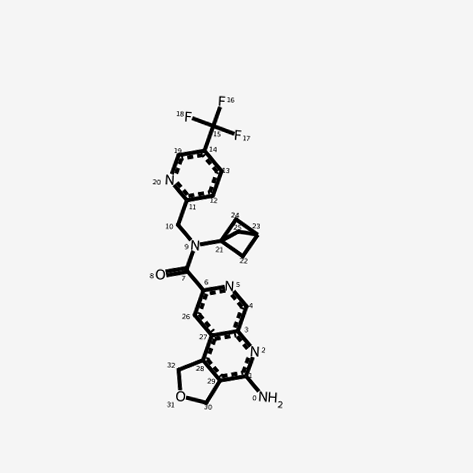 Nc1nc2cnc(C(=O)N(Cc3ccc(C(F)(F)F)cn3)C34CC(C3)C4)cc2c2c1COC2